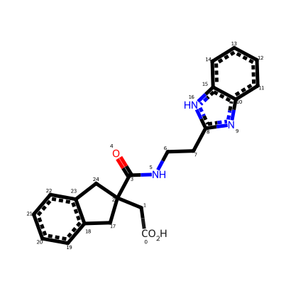 O=C(O)CC1(C(=O)NCCc2nc3ccccc3[nH]2)Cc2ccccc2C1